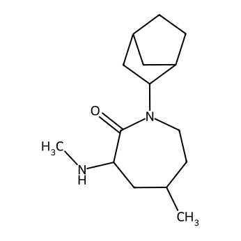 CNC1CC(C)CCN(C2CC3CCC2C3)C1=O